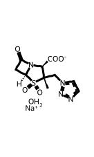 C[C@]1(Cn2ccnn2)[C@H](C(=O)[O-])N2C(=O)C[C@@H]2S1(=O)=O.O.[Na+]